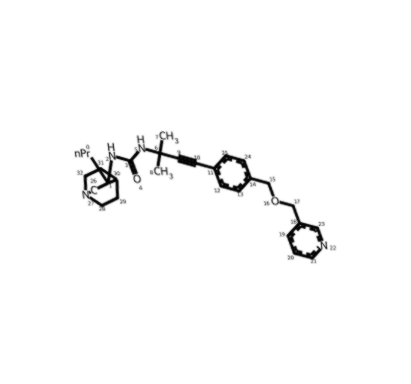 CCCC1(NC(=O)NC(C)(C)C#Cc2ccc(COCc3cccnc3)cc2)CN2CCC1CC2